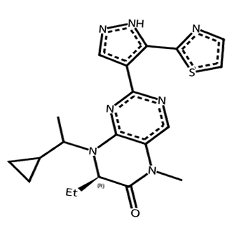 CC[C@@H]1C(=O)N(C)c2cnc(-c3cn[nH]c3-c3nccs3)nc2N1C(C)C1CC1